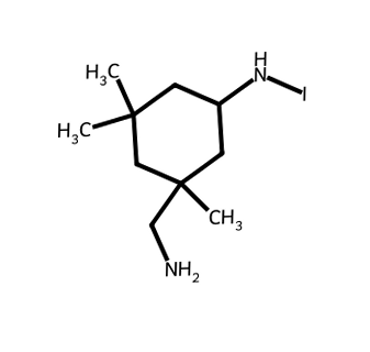 CC1(C)CC(NI)CC(C)(CN)C1